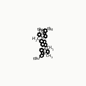 Cc1ccc(C)c(N(c2ccc3ccc4c(N(c5cc(C)ccc5C)c5cccc6c5oc5c(C(C)(C)C)cc(C(C)(C)C)cc56)ccc5ccc2c3c54)c2cccc3c2oc2ccc(C(C)(C)C)cc23)c1